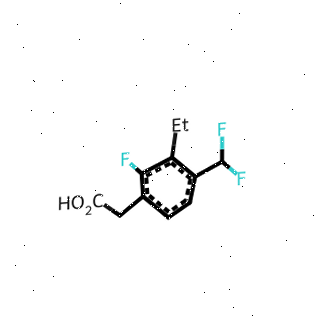 CCc1c(C(F)F)ccc(CC(=O)O)c1F